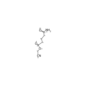 N#CCOC(=O)CCCC(N)=O